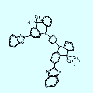 CC1(C)c2ccccc2N(c2ccc(N3c4ccccc4C(C)(C)c4cc(-c5nc6ccccc6s5)ccc43)cc2)c2ccc(-c3nc4ccccc4s3)cc21